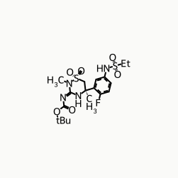 CCS(=O)(=O)Nc1ccc(F)c([C@]2(C)CS(=O)(=O)N(C)/C(=N/C(=O)OC(C)(C)C)N2)c1